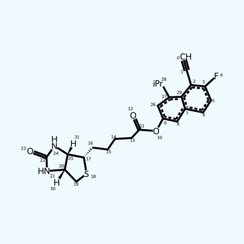 C#Cc1c(F)ccc2cc(OC(=O)CCCC[C@@H]3SC[C@@H]4NC(=O)N[C@@H]43)cc(C(C)C)c12